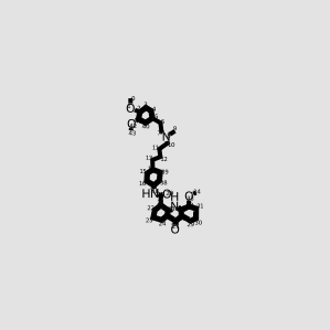 COc1ccc(CCN(C)CCCCc2ccc(NC(=O)c3cccc4c(=O)c5cccc(OC)c5[nH]c34)cc2)cc1OC